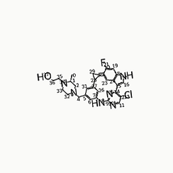 C[C@H]1CN(Cc2cc(Nc3ncc(Cl)c(-c4c[nH]c5cc(F)ccc45)n3)cc(C3CC3)c2)CCN1CCO